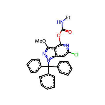 CCNC(=O)Oc1nc(Cl)cc2c1c(OC)nn2C(c1ccccc1)(c1ccccc1)c1ccccc1